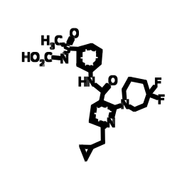 CS(=O)(=NC(=O)O)c1cccc(NC(=O)c2ccc(CC3CC3)nc2N2CCCC(F)(F)CC2)c1